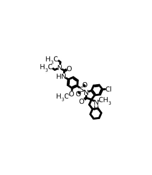 CCN(CC)C(=O)Nc1ccc(S(=O)(=O)N2C(=O)C(CC3CCCCC3)(NC)c3cc(Cl)ccc32)c(OC)c1